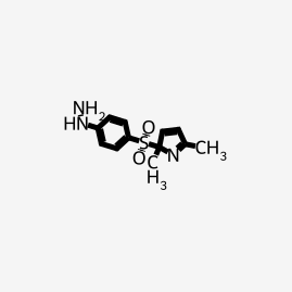 CC1=NC(C)(S(=O)(=O)c2ccc(NN)cc2)C=C1